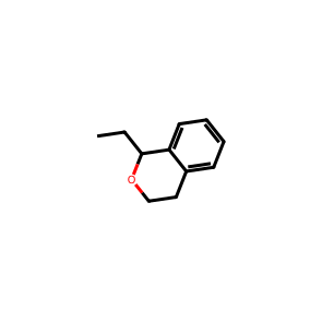 CCC1OCCc2ccccc21